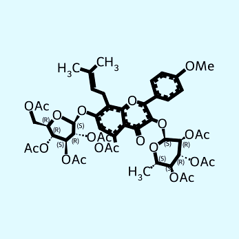 COc1ccc(-c2oc3c(CC=C(C)C)c(O[C@@H]4O[C@H](COC(C)=O)[C@@H](OC(C)=O)[C@H](OC(C)=O)[C@H]4OC(C)=O)cc(OC(C)=O)c3c(=O)c2O[C@@H]2O[C@@H](C)[C@H](OC(C)=O)[C@@H](OC(C)=O)[C@H]2OC(C)=O)cc1